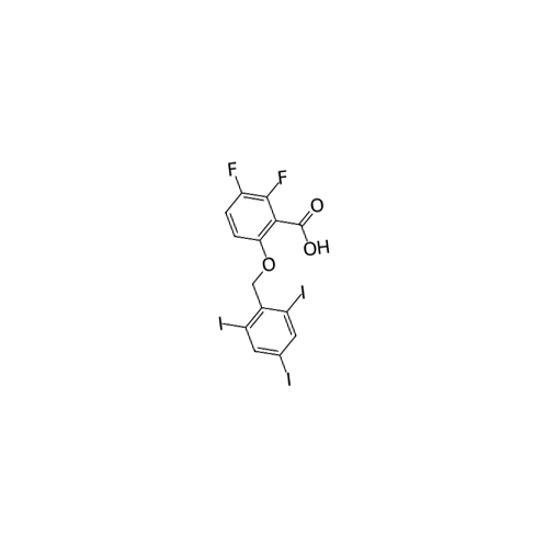 O=C(O)c1c(OCc2c(I)cc(I)cc2I)ccc(F)c1F